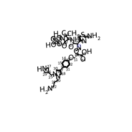 CC1(C)[C@H](NC(=O)/C(=N\O[C@@H](COc2ccc(-c3cn(CCCN)[n+](CC4CNC4)c3)cc2)C(=O)O)c2csc(N)n2)C(=O)N1OS(=O)(=O)O